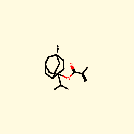 C=C(C)C(=O)OC1(C(C)C)C2CCC3CC1C[C@H](C3)C2